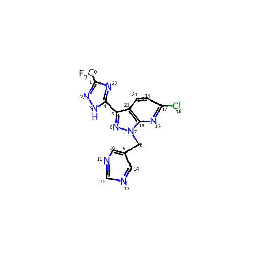 FC(F)(F)c1n[nH]c(-c2nn(Cc3cncnc3)c3nc(Cl)ccc23)n1